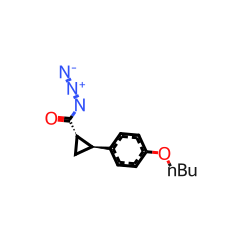 CCCCOc1ccc([C@H]2C[C@@H]2C(=O)N=[N+]=[N-])cc1